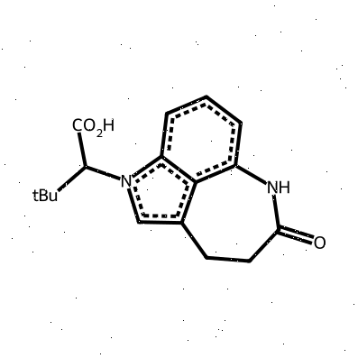 CC(C)(C)C(C(=O)O)n1cc2c3c(cccc31)NC(=O)CC2